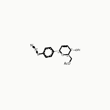 CC(=O)OC[C@H]1O[C@H](c2ccc(N=[N+]=[N-])cc2)C=C[C@@H]1OC(C)=O